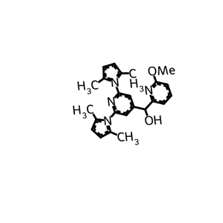 COc1cccc(C(O)c2cc(-n3c(C)ccc3C)nc(-n3c(C)ccc3C)c2)n1